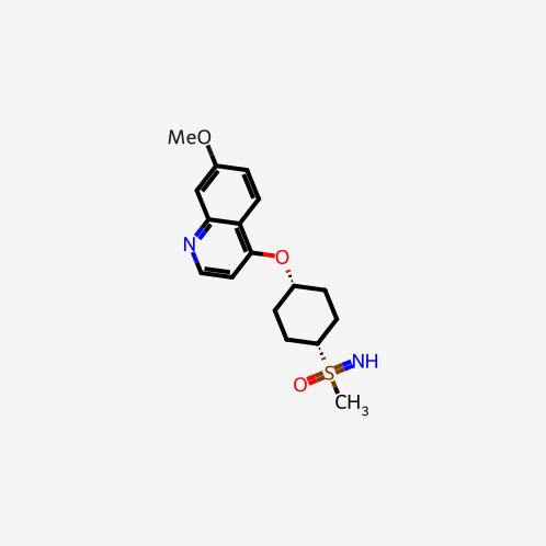 COc1ccc2c(O[C@H]3CC[C@@H](S(C)(=N)=O)CC3)ccnc2c1